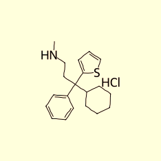 CNCCC(c1ccccc1)(c1cccs1)C1CCCCC1.Cl